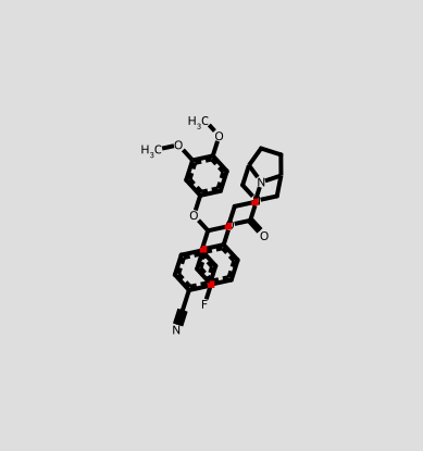 COc1ccc(OC(CCCN2C3CCC2CN(C(=O)Oc2ccc(F)cc2)C3)c2ccc(C#N)cc2)cc1OC